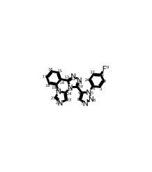 Fc1ccc(-n2nncc2-c2nnc3c4ccccc4n4cncc4n23)cc1